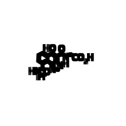 CC(C)NC(=O)c1cccc2c(O)c(C(=O)NCC(=O)O)n3ncnc3c12